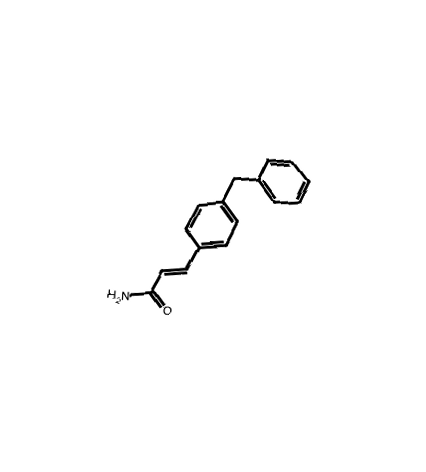 NC(=O)C=Cc1ccc(Cc2ccccc2)cc1